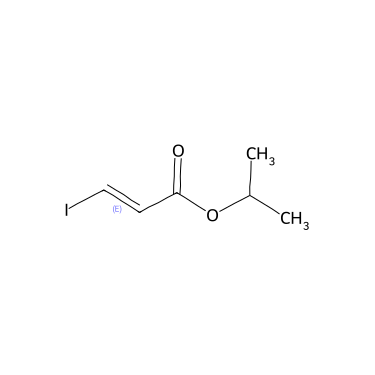 CC(C)OC(=O)/C=C/I